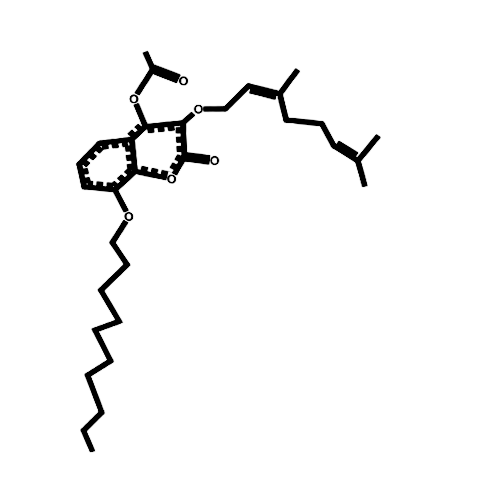 CCCCCCCCCCOc1cccc2c(OC(C)=O)c(OCC=C(C)CCC=C(C)C)c(=O)oc12